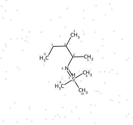 CCC(C)C(C)N=[SH](C)(C)C